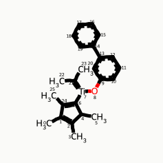 CC1=C(C)C(C)[C]([Ti]([O]c2cccc(-c3ccccc3)c2)=[C](C)C)=C1C